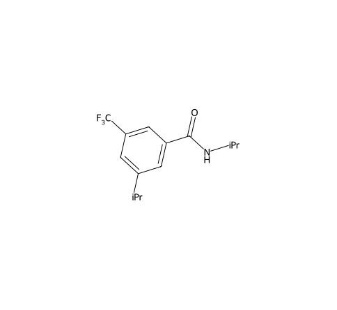 CC(C)NC(=O)c1cc(C(C)C)cc(C(F)(F)F)c1